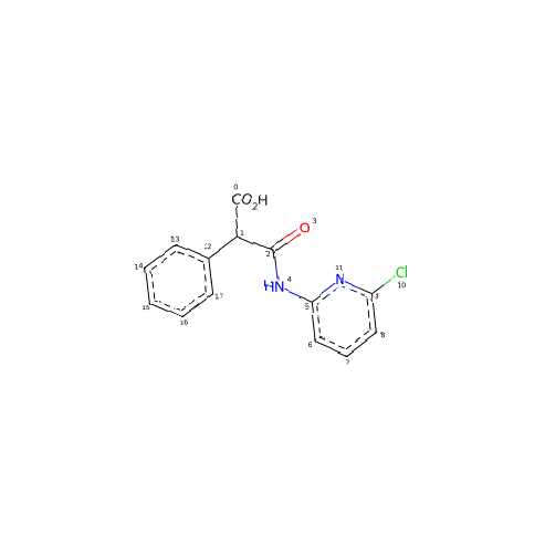 O=C(O)C(C(=O)Nc1cccc(Cl)n1)c1ccccc1